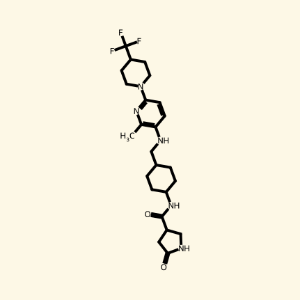 Cc1nc(N2CCC(C(F)(F)F)CC2)ccc1NCC1CCC(NC(=O)C2CNC(=O)C2)CC1